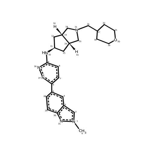 Cn1cc2cc(-c3ccc(N[C@H]4C[C@@H]5CN(CC6CCOCC6)C[C@@H]5C4)nn3)ccc2n1